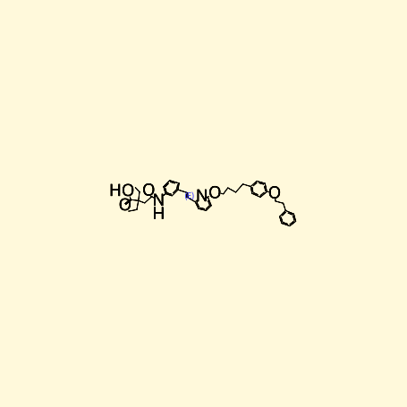 CCC(CC)(CC(=O)Nc1cccc(/C=C/c2cccc(OCCCCc3ccc(OCCc4ccccc4)cc3)n2)c1)C(=O)O